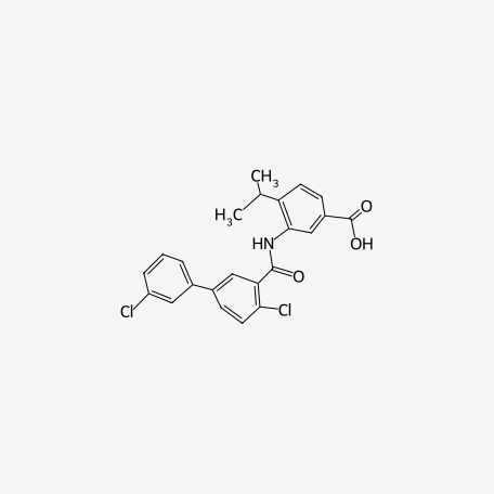 CC(C)c1ccc(C(=O)O)cc1NC(=O)c1cc(-c2cccc(Cl)c2)ccc1Cl